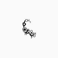 CCc1ccc(COP2(=O)OC[C@H]3C[C@H](n4cc(F)c(=O)[nH]c4=O)O[C@H]3O2)cc1